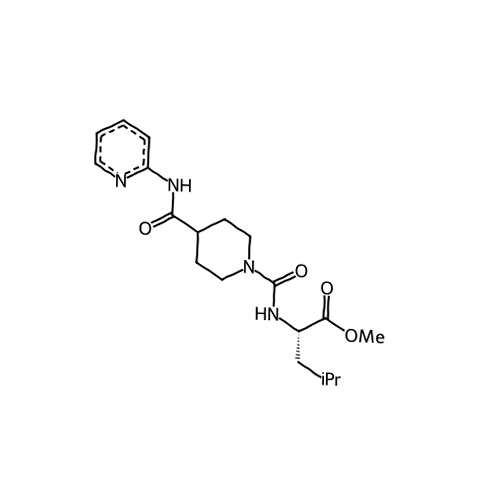 COC(=O)[C@H](CC(C)C)NC(=O)N1CCC(C(=O)Nc2ccccn2)CC1